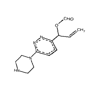 C=CC(OC=O)c1ccc(N2CCNCC2)nn1